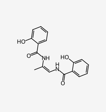 CC(=CNC(=O)c1ccccc1O)NC(=O)c1ccccc1O